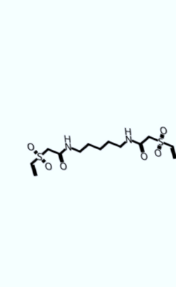 C=CS(=O)(=O)CC(=O)NCCCCCNC(=O)CS(=O)(=O)C=C